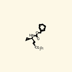 CCOC(=O)/C=C/C(NC(=O)OCc1ccccc1)C1CC1